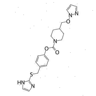 O=C(Oc1ccc(CSc2ncc[nH]2)cc1)N1CCC(COn2cccn2)CC1